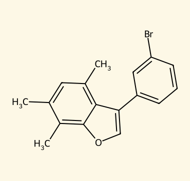 Cc1cc(C)c2c(-c3cccc(Br)c3)coc2c1C